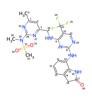 Cc1cc(CNc2nc(Nc3cccc4c3NC(=O)C4)ncc2C(F)(F)F)nc(N(C)S(C)(=O)=O)n1